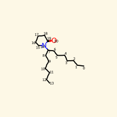 CCCCCCCC(CCCCCC)N1CCCCC1=O